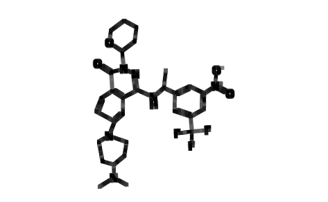 CC(Nc1nn(C2CCCCO2)c(=O)c2ccc(N3CCC(N(C)C)CC3)cc12)c1cc([N+](=O)[O-])cc(C(F)(F)F)c1